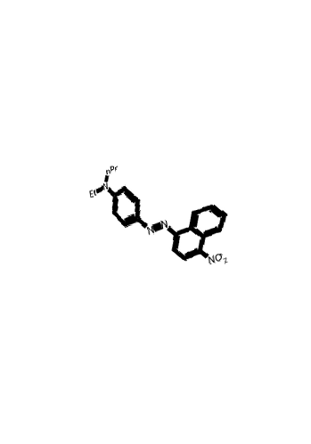 CCCN(CC)c1ccc(N=Nc2ccc([N+](=O)[O-])c3ccccc23)cc1